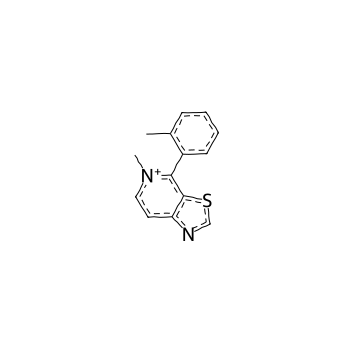 Cc1ccccc1-c1c2scnc2cc[n+]1C